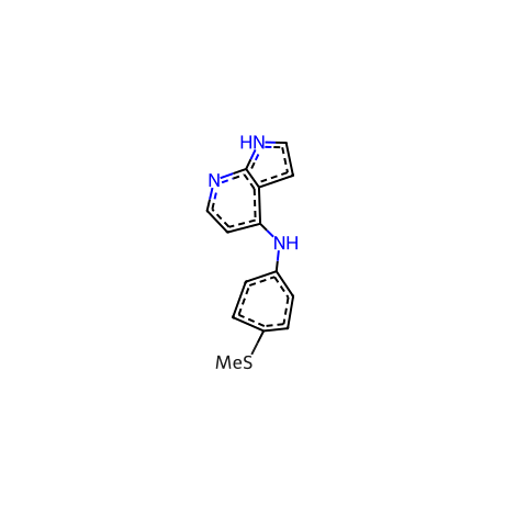 CSc1ccc(Nc2ccnc3[nH]ccc23)cc1